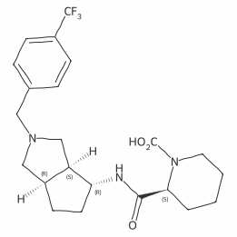 O=C(N[C@@H]1CC[C@H]2CN(Cc3ccc(C(F)(F)F)cc3)C[C@H]21)[C@@H]1CCCCN1C(=O)O